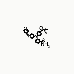 CCN(CC)C(=O)c1ccc(N(c2cccc(C(N)=O)c2)C2CCN(Cc3ccncc3)CC2)cc1